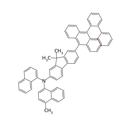 Cc1ccc(N(c2ccc3c(c2)C(C)(C)c2cc(-c4c5ccccc5c(-c5ccccc5-c5ccccc5)c5ccccc45)ccc2-3)c2cccc3ccccc23)c2ccccc12